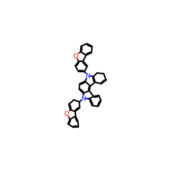 C1=Cc2c(n(-c3ccc4oc5ccccc5c4c3)c3ccc4c(c5ccccc5n4C4C=c5c(oc6ccccc56)=CC4)c23)CC1